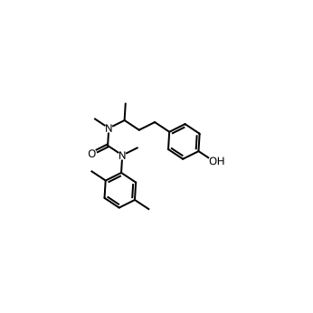 Cc1ccc(C)c(N(C)C(=O)N(C)C(C)CCc2ccc(O)cc2)c1